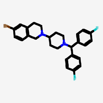 Fc1ccc(C(c2ccc(F)cc2)N2CCC(N3CCc4cc(Br)ccc4C3)CC2)cc1